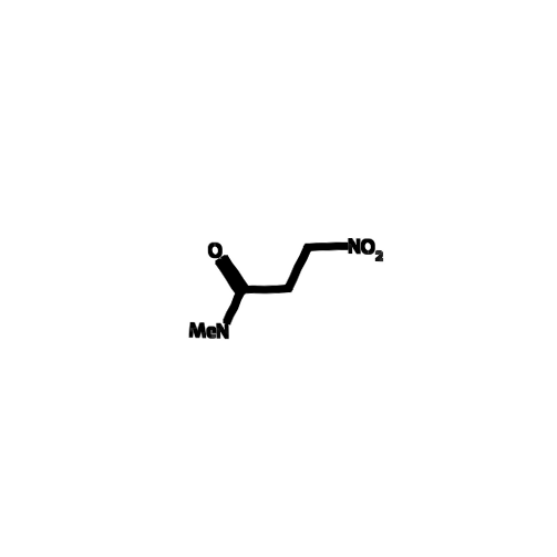 CNC(=O)CC[N+](=O)[O-]